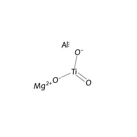 [Al].[Mg+2].[O]=[Ti]([O-])[O-]